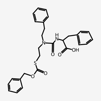 O=C(OCc1ccccc1)SCCN(CCc1ccccc1)C(=O)NC(Cc1ccccc1)C(=O)O